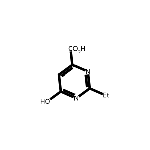 CCc1nc(O)cc(C(=O)O)n1